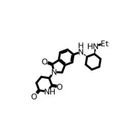 CCN[C@H]1CCCC[C@@H]1Nc1ccc2c(c1)CN(C1CCC(=O)NC1=O)C2=O